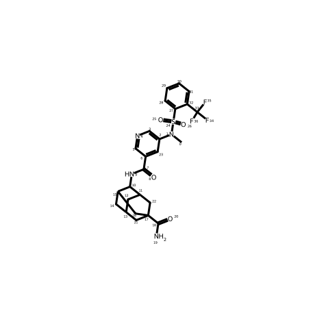 CN(c1cncc(C(=O)NC2C3CC4CC2CC(C(N)=O)(C4)C3)c1)S(=O)(=O)c1ccccc1C(F)(F)F